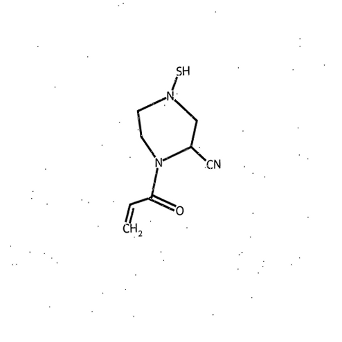 C=CC(=O)N1CCN(S)CC1C#N